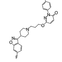 O=c1ccc(OCCCN2CCC(c3noc4cc(F)ccc34)CC2)nn1-c1ccc(F)cc1